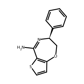 NC1=N[C@@H](c2ccccc2)COc2ccsc21